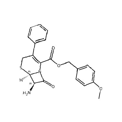 COc1ccc(COC(=O)C2=C(c3ccccc3)CS[C@@H]3[C@H](N)C(=O)N23)cc1